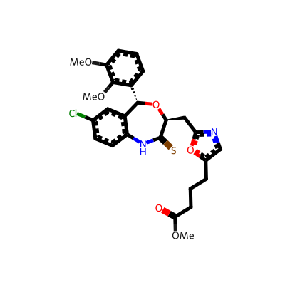 COC(=O)CCCc1cnc(C[C@@H]2O[C@@H](c3cccc(OC)c3OC)c3cc(Cl)ccc3NC2=S)o1